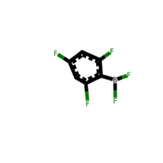 FB(F)c1c(F)cc(F)cc1F